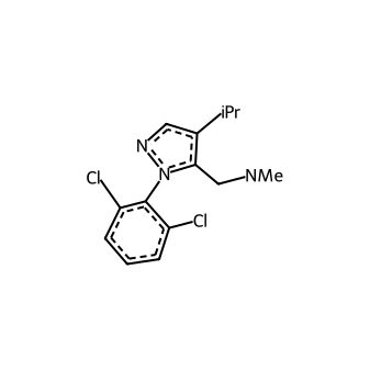 CNCc1c(C(C)C)cnn1-c1c(Cl)cccc1Cl